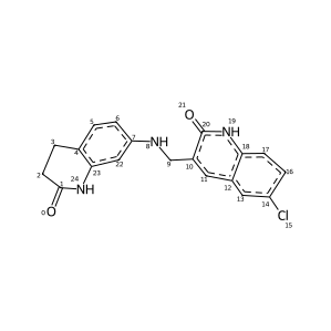 O=C1CCc2ccc(NCc3cc4cc(Cl)ccc4[nH]c3=O)cc2N1